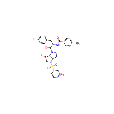 CC(C)(C)c1ccc(C(=O)NC(Cc2ccc(F)cc2)C(=O)N2CCC3C2C(=O)CN3S(=O)(=O)c2ccc[n+]([O-])c2)cc1